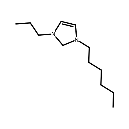 CCCCCCN1C=CN(CCC)C1